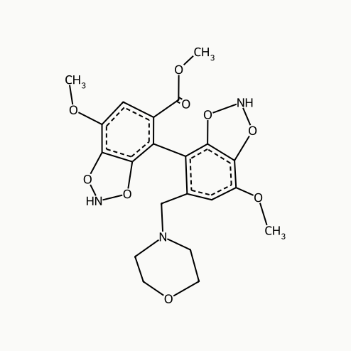 COC(=O)c1cc(OC)c2c(c1-c1c(CN3CCOCC3)cc(OC)c3c1ONO3)ONO2